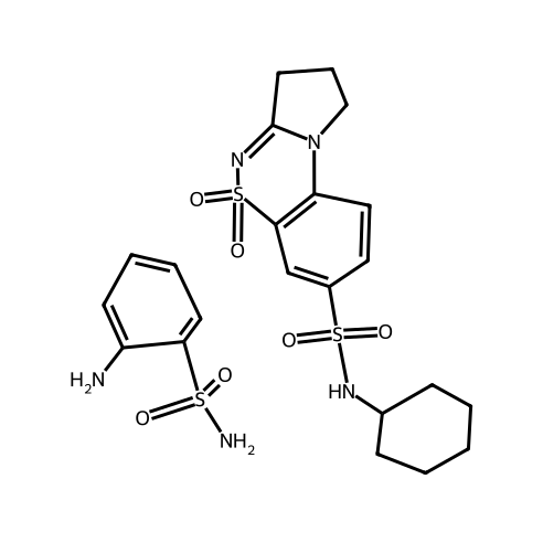 Nc1ccccc1S(N)(=O)=O.O=S1(=O)N=C2CCCN2c2ccc(S(=O)(=O)NC3CCCCC3)cc21